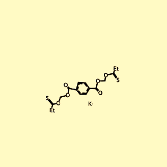 CCC(=S)OCOC(=O)c1ccc(C(=O)OCOC(=S)CC)cc1.[K]